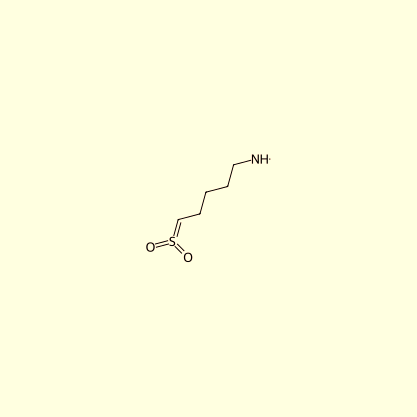 [NH]CCCCC=S(=O)=O